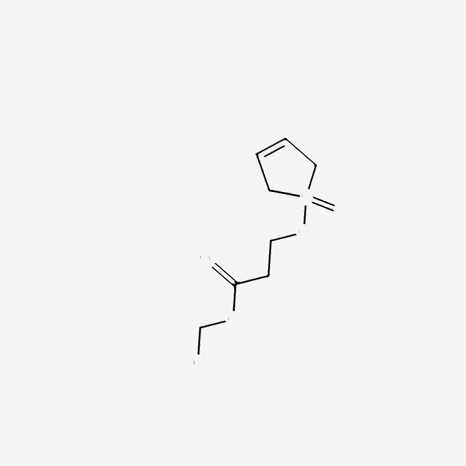 CCOC(=O)CCOP1(=O)CC=CC1